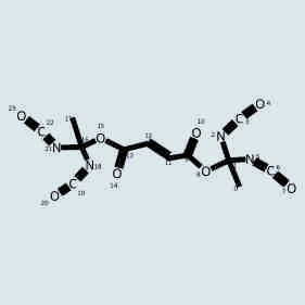 CC(N=C=O)(N=C=O)OC(=O)/C=C/C(=O)OC(C)(N=C=O)N=C=O